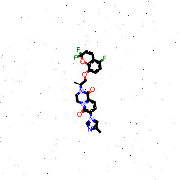 Cc1cn(-c2ccc3n(c2=O)CCN([C@@H](C)COc2ccc(F)c4c2OC(F)(F)C=C4)C3=O)cn1